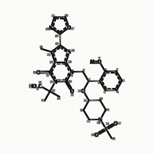 COc1ccccc1C(Cn1c(=O)n(C(C)(C)C(=O)O)c(=O)c2c(C)c(-c3ncco3)sc21)OC1CCN(S(C)(=O)=O)CC1